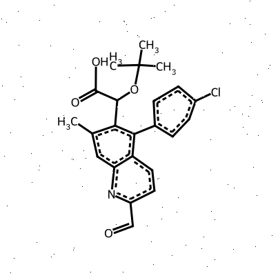 Cc1cc2nc(C=O)ccc2c(-c2ccc(Cl)cc2)c1C(OC(C)(C)C)C(=O)O